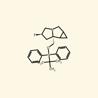 CC(C)(C)[Si](OC[C@]12C[C@@H](F)CN1CC1CC12)(c1ccccc1)c1ccccc1